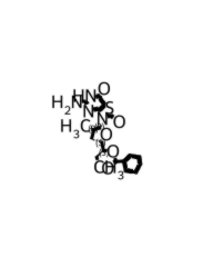 CC[C@H](OC(=O)c1ccccc1)[C@@H]1C[C@@H](C)[C@@H](n2c(=O)sc3c(=O)[nH]c(N)nc32)O1